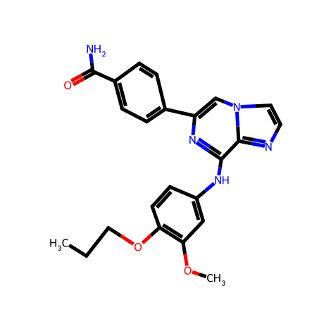 CCCOc1ccc(Nc2nc(-c3ccc(C(N)=O)cc3)cn3ccnc23)cc1OC